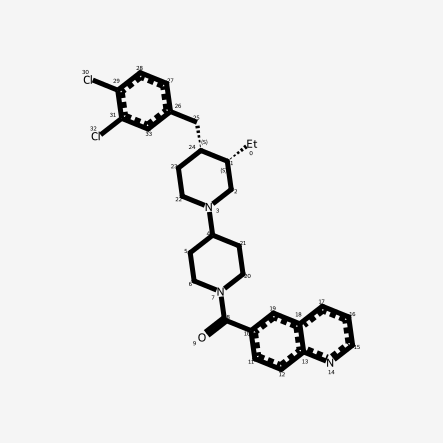 CC[C@@H]1CN(C2CCN(C(=O)c3ccc4ncccc4c3)CC2)CC[C@@H]1Cc1ccc(Cl)c(Cl)c1